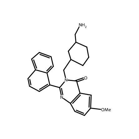 COc1ccc2nc(-c3cccc4ccccc34)n(CC3CCCC(CN)C3)c(=O)c2c1